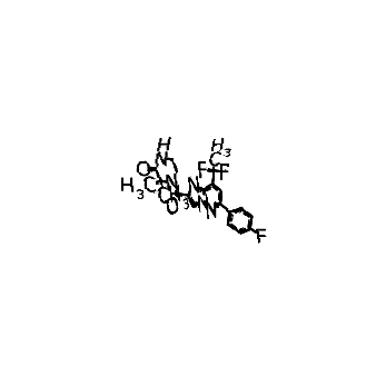 CC(F)(F)c1cc(-c2ccc(F)cc2)nn2cc(C(=O)N3CCNC(=O)C3(C)C)nc12